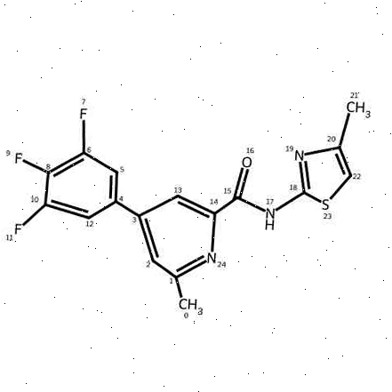 Cc1cc(-c2cc(F)c(F)c(F)c2)cc(C(=O)Nc2nc(C)cs2)n1